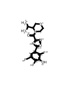 CC(C)C1COCCN1C(=O)c1noc(-c2cc(F)c(F)c(O)c2F)n1